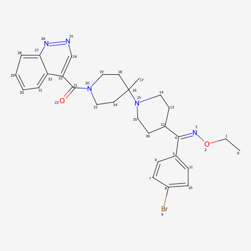 CCON=C(c1ccc(Br)cc1)C1CCN(C2(C)CCN(C(=O)c3cnnc4ccccc34)CC2)CC1